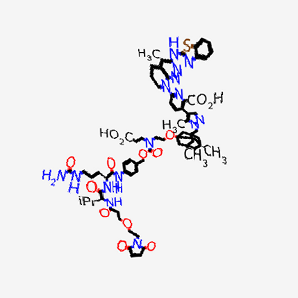 Cc1c(Nc2nc3ccccc3s2)nnc2c1CCCN2c1ccc(-c2cnn(CC34CC5(C)CC(OCCN(CCC(=O)O)C(=O)OCc6ccc(NC(=O)[C@H](CCCNC(N)=O)NC(=O)[C@@H](NC(=O)CCOCCN7C(=O)C=CC7=O)C(C)C)cc6)(C3)C[C@](C)(C5)C4)c2C)c(C(=O)O)n1